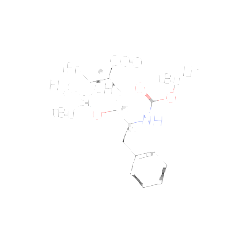 CC(C)C[C@H](C[C@@H](O[Si](C)(C)C(C)(C)C)[C@H](Cc1ccccc1)NC(=O)OC(C)(C)C)C(=O)[O-].[Li+]